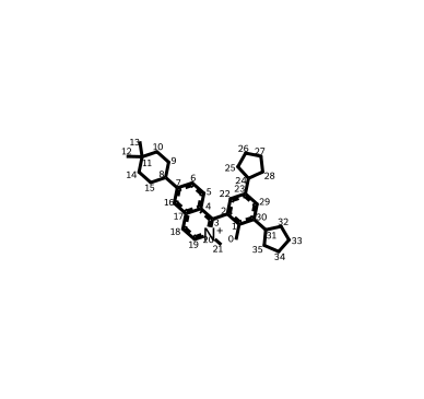 Cc1c(-c2c3ccc(C4CCC(C)(C)CC4)cc3cc[n+]2C)cc(C2CCCC2)cc1C1CCCC1